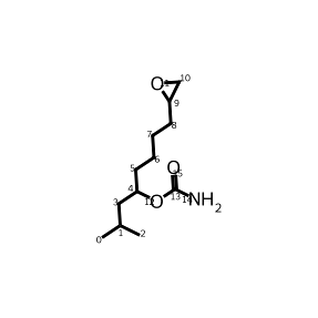 CC(C)CC(CCCCC1CO1)OC(N)=O